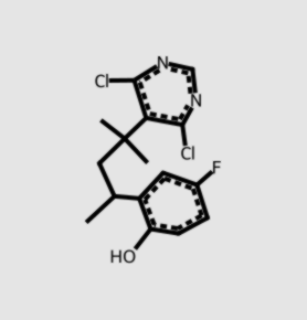 CC(CC(C)(C)c1c(Cl)ncnc1Cl)c1cc(F)ccc1O